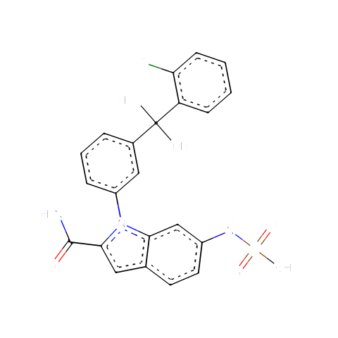 CC(C)(c1cccc(-n2c(C(N)=O)cc3ccc(NS(C)(=O)=O)cc32)c1)c1ccccc1F